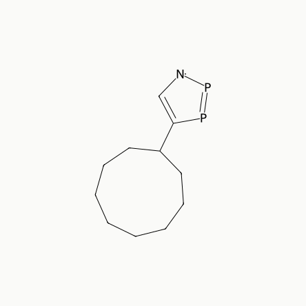 C1=C(C2CCCCCCCC2)P=P[N]1